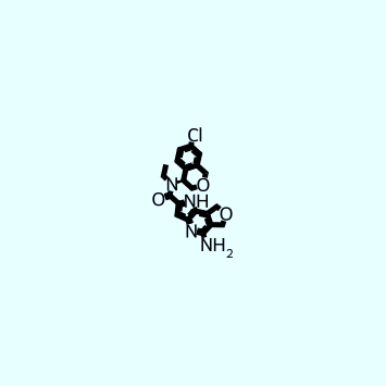 CCN(C(=O)c1cc2nc(N)c3c(c2[nH]1)COC3)[C@@H]1COCc2cc(Cl)ccc21